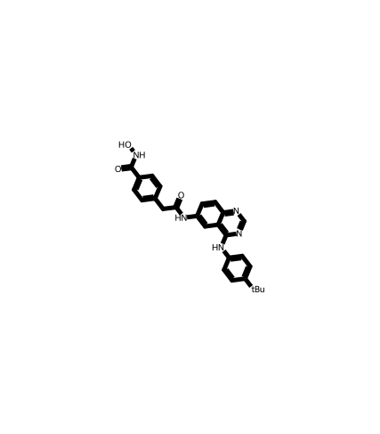 CC(C)(C)c1ccc(Nc2ncnc3ccc(NC(=O)Cc4ccc(C(=O)NO)cc4)cc23)cc1